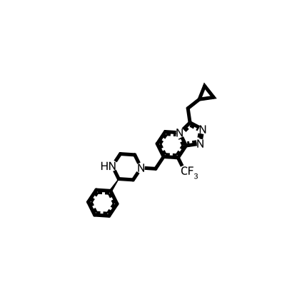 FC(F)(F)c1c(CN2CCN[C@H](c3ccccc3)C2)ccn2c(CC3CC3)nnc12